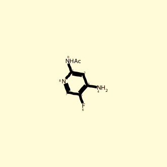 CC(=O)Nc1cc(N)c(F)cn1